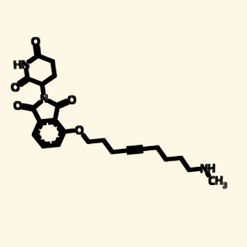 CNCCCCC#CCCCOc1cccc2c1C(=O)N(C1CCC(=O)NC1=O)C2=O